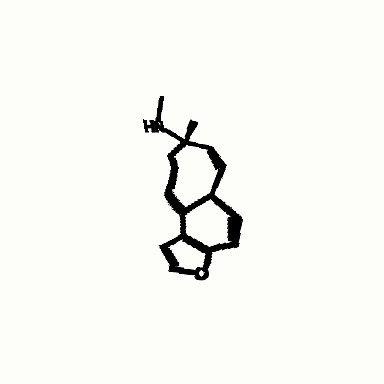 CN[C@]1(C)C=CC2C=Cc3occc3C2C=C1